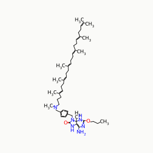 CCCCOC1=NC(N)=C2NC(=O)N(Cc3ccc(CN(C)CCC/C(C)=C/CC/C(C)=C/CC/C(C)=C/CC/C=C(\C)CC/C=C(\C)CCC=C(C)C)cc3)C2(C)N1